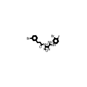 N=C(Nc1ccc(F)c(Br)c1)c1nonc1NC(=O)CCc1cccc(Br)c1